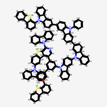 c1ccc(-n2c3ccc(-c4ccc5c(c4)c4ccccc4n5-c4cccc5c4sc4ccccc45)cc3c3ccc(-c4ccc5c6ccccc6n(-c6ccc7c(c6)c6ccccc6n7-c6cc(-c7cccc(-c8cccc9c8sc8ccccc89)c7)cc(-c7cnc(-n8c9ccccc9c9ccccc98)c8sc9ccc(-n%10c%11ccccc%11c%11ccccc%11%10)cc9c78)c6)c5c4)cc32)cc1